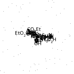 CCOC(=O)Oc1cc2occ(C(=O)NC(C(=O)N[C@]3(OC)C(=O)N4C(C(=O)O)=C(CSc5nnnn5C)CS[C@H]43)c3ccc(O)cc3)c(=O)c2cc1OC(=O)OCC